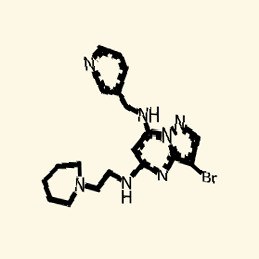 Brc1cnn2c(NCc3cccnc3)cc(NCCN3CCCCC3)nc12